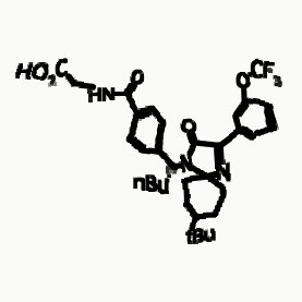 CCCC[C@H](c1ccc(C(=O)NCCC(=O)O)cc1)N1C(=O)C(c2cccc(OC(F)(F)F)c2)=NC12CCC(C(C)(C)C)CC2